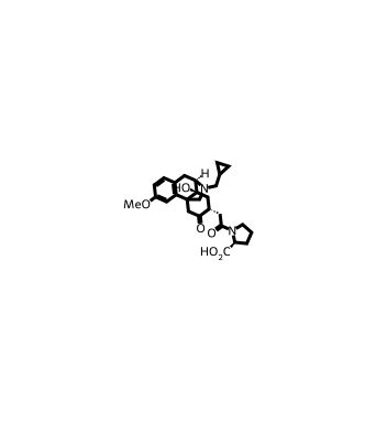 COc1ccc2c(c1)C13CC(=O)[C@@H](CC(=O)N4CCC[C@H]4C(=O)O)C[C@@]1(O)[C@@H](C2)N(CC1CC1)C3